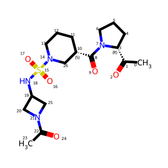 CC(=O)[C@H]1CCCN1C(=O)[C@H]1CCCN(S(=O)(=O)NC2CN(C(C)=O)C2)C1